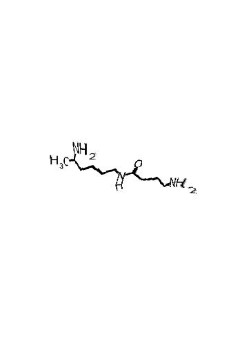 CC(N)CCCCNC(=O)CCCN